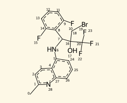 Cc1ccc2c(NC(c3c(F)cccc3F)C(O)(CBr)C(F)(F)F)cccc2n1